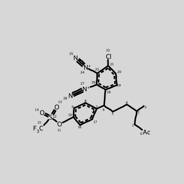 CC(=O)CC(C)CCC(c1ccc(OS(=O)(=O)C(F)(F)F)cc1)c1ccc(Cl)c([N+]#N)c1[N+]#N